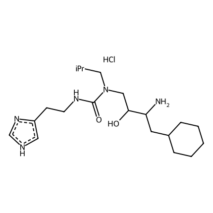 CC(C)CN(CC(O)C(N)CC1CCCCC1)C(=O)NCCc1c[nH]cn1.Cl